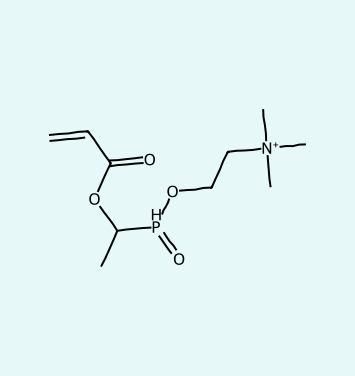 C=CC(=O)OC(C)[PH](=O)OCC[N+](C)(C)C